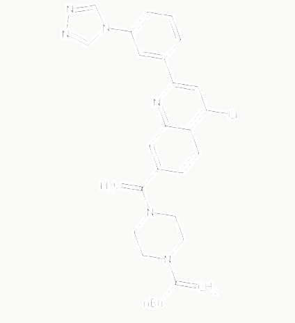 C=C(CCCC)N1CCN(C(=C)c2ccc3c(Cl)cc(-c4cccc(-n5cnnc5)c4)nc3c2)CC1